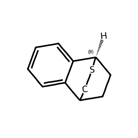 c1ccc2c(c1)C1CC[C@H]2SC1